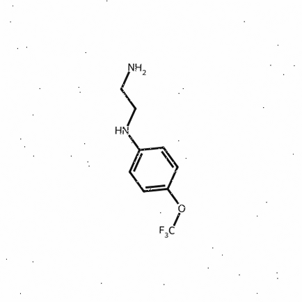 NCCNc1ccc(OC(F)(F)F)cc1